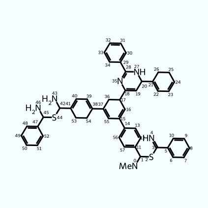 CNC(SC(=N)c1ccccc1)c1ccc(C2=CC(C3=CC(C4=CC=CCC4)NC(c4ccccc4)=N3)CC(C3=CC=C(C(N)SC(N)c4ccccc4)CC3)=C2)cc1